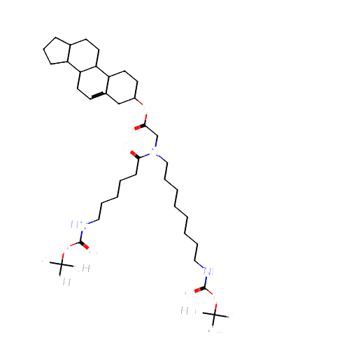 CC(C)(C)OC(=O)NCCCCCCCCN(CC(=O)OC1CCC2C(=CCC3C4CCCC4CCC23)C1)C(=O)CCCCCNC(=O)OC(C)(C)C